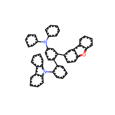 c1ccc(N(c2ccccc2)c2ccc(-c3ccccc3-n3c4ccccc4c4ccccc43)c(-c3ccc4oc5ccccc5c4c3)c2)cc1